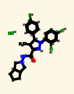 CC1C(C(=O)NN2CC3CCCC3C2)=NN(c2ccc(Cl)cc2Cl)C1c1ccc(F)cc1.Cl